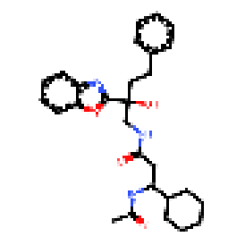 CC(=O)NC(CC(=O)NCC(O)(CCc1ccccc1)c1nc2ccccc2o1)C1CCCCC1